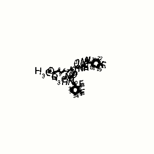 COC(=O)CCC[C@@H](COC(=O)Nc1nnc(-c2ccc(F)cc2)s1)N(C)C(=O)NCc1cccc(F)c1F